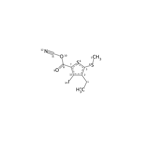 CCc1c(SC)sc(C(=O)OC#N)c1I